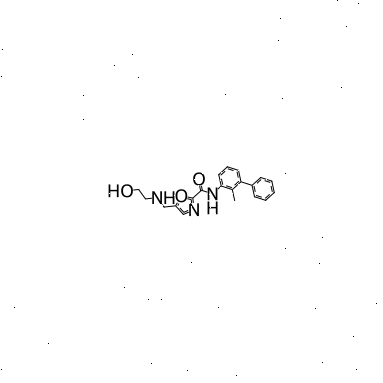 Cc1c(NC(=O)c2ncc(CNCCO)o2)cccc1-c1ccccc1